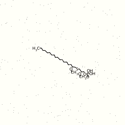 CCCCCCCCCCCCCCCCC(CSCC(COP(=O)(O)O)OC)OC